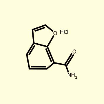 Cl.NC(=O)c1cccc2ccoc12